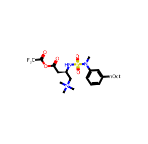 CCCCCCCCc1cccc(N(C)S(=O)(=O)N[C@H](CC(=O)OC(=O)C(F)(F)F)C[N+](C)(C)C)c1